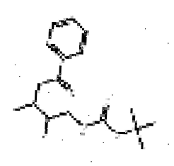 CC(CNC(=O)OC(C)(C)C)C(C)CC(=O)c1ccccc1